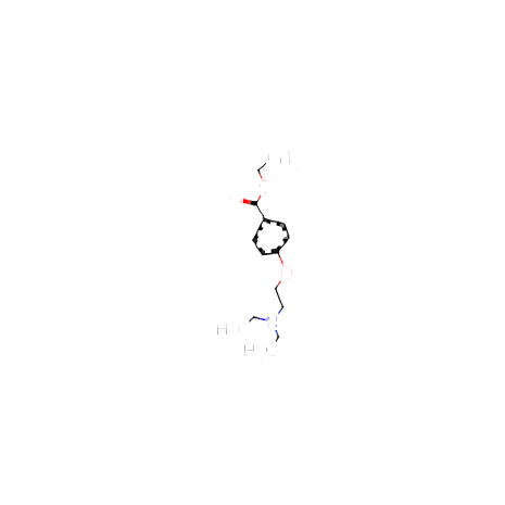 CCOC(=O)c1ccc(OCCN(CC)CC)cc1